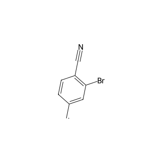 [CH2]c1ccc(C#N)c(Br)c1